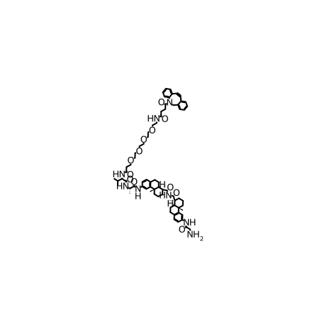 CC(C)[C@H](NC(=O)CCOCCOCCOCCOCCNC(=O)CCC(=O)N1Cc2ccccc2C#Cc2ccccc21)C(=O)N[C@@H](C)C(=O)Nc1ccc2c(c1)[C@@]1(C)CCC[C@](C)(C(=O)NC(=O)[C@@]3(C)CCC[C@]4(C)c5cc(NC(=O)CN)ccc5CC[C@@H]34)[C@@H]1CC2